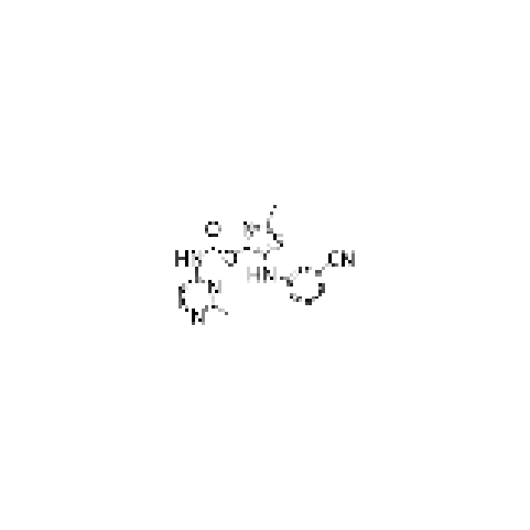 Cc1nccc(NC(=O)Oc2nc(C)sc2Nc2cccc(C#N)c2)n1